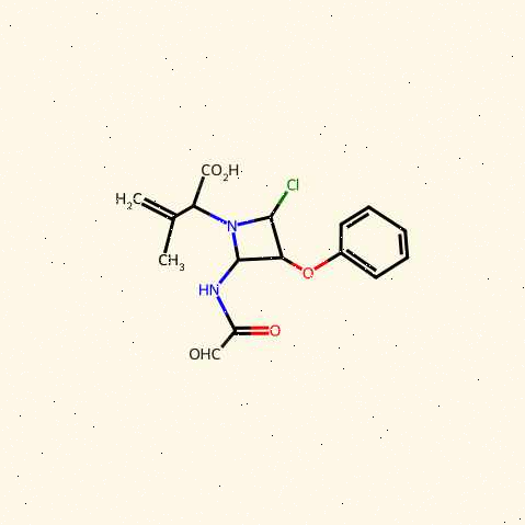 C=C(C)C(C(=O)O)N1C(Cl)C(Oc2ccccc2)C1NC(=O)C=O